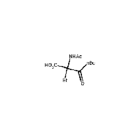 CCCCC(=O)C(CC)(NC(C)=O)C(=O)O